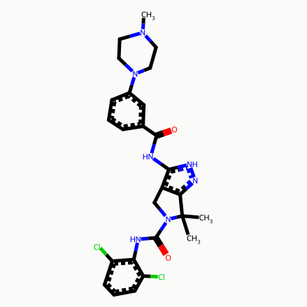 CN1CCN(c2cccc(C(=O)Nc3[nH]nc4c3CN(C(=O)Nc3c(Cl)cccc3Cl)C4(C)C)c2)CC1